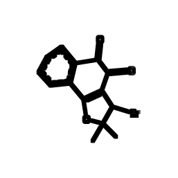 CC1(C)OC2=C(C(=O)C(=O)c3ccccc32)C1Br